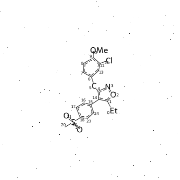 CCc1onc(Cc2ccc(OC)c(Cl)c2)c1-c1ccc(S(C)(=O)=O)cc1